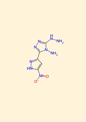 NNc1nnc(-c2cc([N+](=O)[O-])[nH]n2)n1N